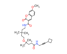 COc1ccc2cc(C(=O)NCCC(C)(C)CCOC(C)(C)CCC(=O)NCC#CC3CCC3)c(=O)oc2c1